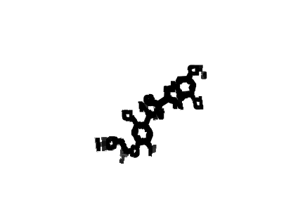 C[C@H](CO)Oc1cc(Cl)c(-c2noc(-c3cn4cc(C(F)(F)F)cc(Cl)c4n3)n2)cc1F